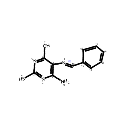 Nc1nc(S)nc(O)c1/N=C/c1ccccc1